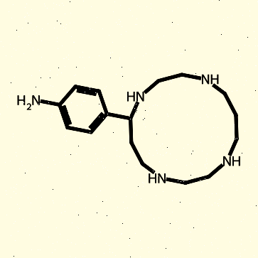 Nc1ccc(C2CCNCCNCCCNCCN2)cc1